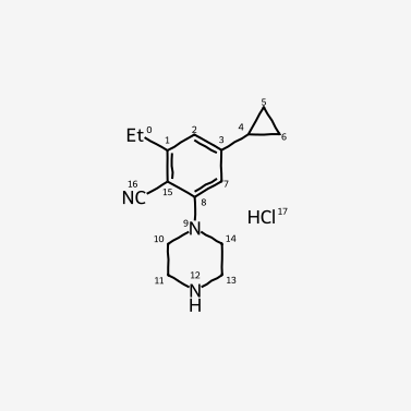 CCc1cc(C2CC2)cc(N2CCNCC2)c1C#N.Cl